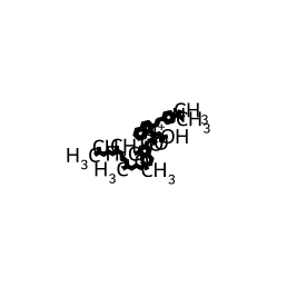 Cc1cc(OC(=O)C(CC(=O)O)[n+]2c(/C=C/c3ccc(N(C)C)cc3)ccc3ccccc32)cc2c1OC(C)(CCCC(C)CCCC(C)CCCC(C)C)CC2